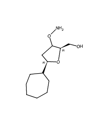 NOC1C[C@H](C2CCCCCC2)O[C@@H]1CO